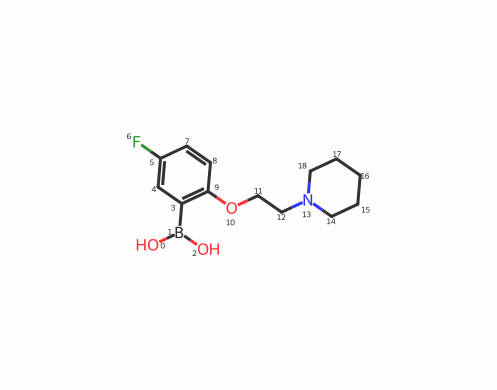 OB(O)c1cc(F)ccc1OCCN1CCCCC1